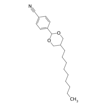 CCCCCCCCCC1COC(c2ccc(C#N)cc2)OC1